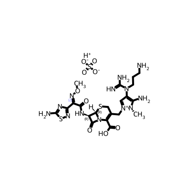 CO/N=C(\C(=O)N[C@@H]1C(=O)N2C(C(=O)O)=C(C[n+]3cc(N(CCCN)C(=N)N)c(N)n3C)CS[C@H]12)c1nsc(N)n1.O=S(=O)([O-])[O-].[H+]